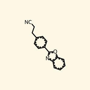 N#CCCc1ccc(-c2nc3ccccc3o2)cc1